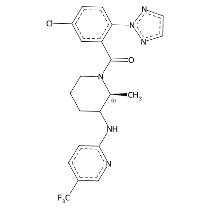 C[C@H]1C(Nc2ccc(C(F)(F)F)cn2)CCCN1C(=O)c1cc(Cl)ccc1-n1nccn1